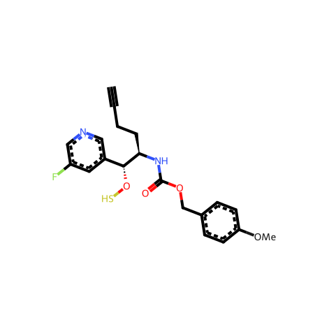 C#CCC[C@@H](NC(=O)OCc1ccc(OC)cc1)[C@H](OS)c1cncc(F)c1